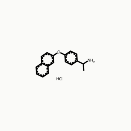 CC(N)c1ccc(Oc2ccc3ccccc3c2)cc1.Cl